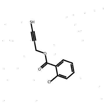 O=C(OCC#CS)c1ccccc1Cl